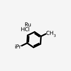 Cc1ccc(C(C)C)cc1.Cl.[Ru]